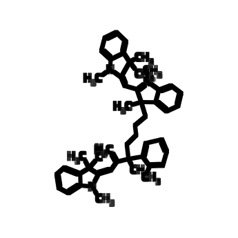 C=C(/C=C1/N(C)c2ccccc2C1(C)C)C(C)(CCCCC1(C)C(/C=C2/N(C)c3ccccc3C2(C)C)=[N+](C)c2ccccc21)c1ccccc1C